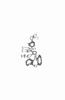 O=S(=O)(N[C@@H]1CC[C@H](N2c3ccccc3Oc3ccccc32)[C@H]1O)c1ccc(OC(F)(F)F)cc1